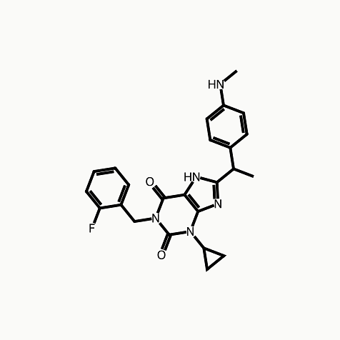 CNc1ccc(C(C)c2nc3c([nH]2)c(=O)n(Cc2ccccc2F)c(=O)n3C2CC2)cc1